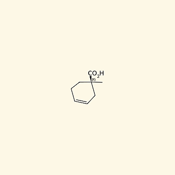 C[C@]1(C(=O)O)CC=CCC1